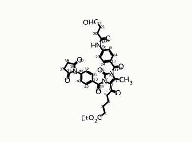 CCOC(=O)CCCCC(=O)c1c(C)n(C(=O)c2ccc(NC(=O)CCC=O)cc2)c(=O)n1C(=O)c1ccc(N2C(=O)CCC2=O)cc1